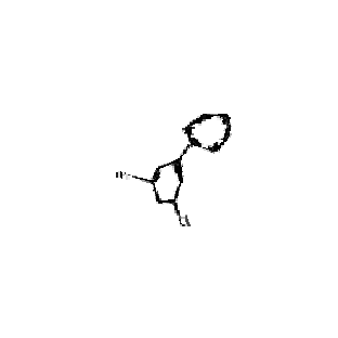 CCCC1=CC(c2ccccc2)=CC(Cl)C1